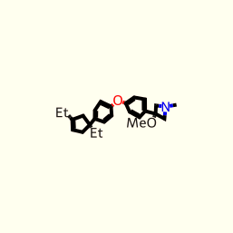 CCC1=CCC(CC)(c2ccc(Oc3ccc(C4(OC)CN(C)C4)cc3)cc2)C1